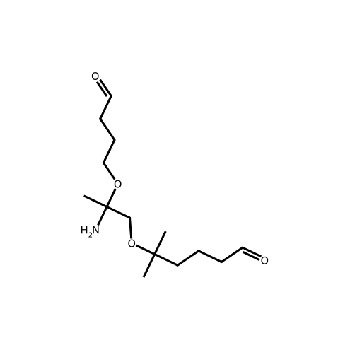 CC(C)(CCCC=O)OCC(C)(N)OCCCC=O